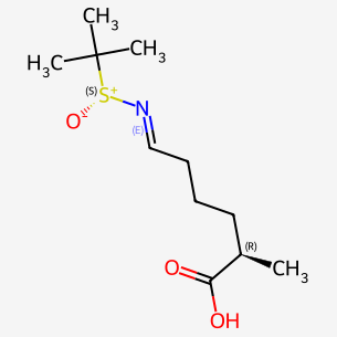 C[C@H](CCC/C=N/[S@+]([O-])C(C)(C)C)C(=O)O